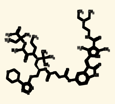 CCCC(C(=O)C(C)OC(C)(CC)C(C)=O)N(C[C@@H](COc1nsnc1N1CCOCC1)OC(=O)CCC(=O)Oc1ccc2c(c1)/C(=C/c1[nH]c(C)c(C(=O)NCCN(CC)CC)c1C)C(=O)N2)C(C)(C)C